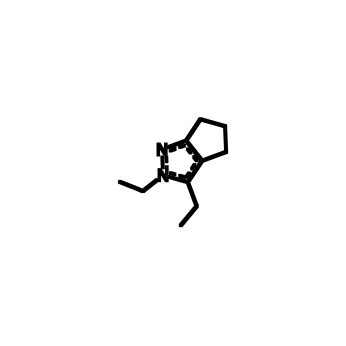 CCc1c2c(nn1CC)CCC2